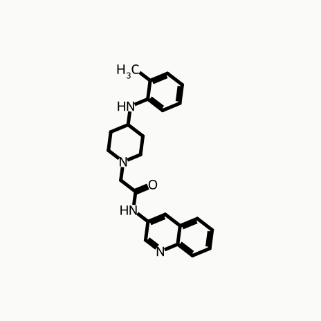 Cc1ccccc1NC1CCN(CC(=O)Nc2cnc3ccccc3c2)CC1